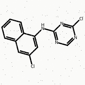 Clc1cc(Nc2ncnc(Cl)n2)c2ccccc2c1